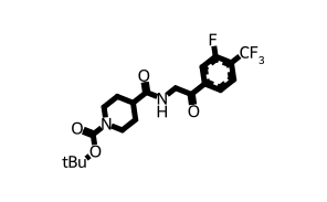 CC(C)(C)OC(=O)N1CCC(C(=O)NCC(=O)c2ccc(C(F)(F)F)c(F)c2)CC1